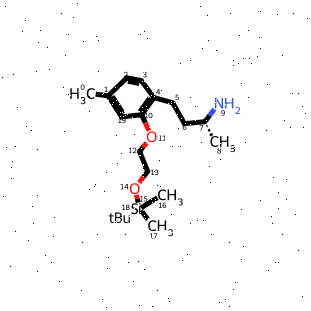 Cc1ccc(CC[C@@H](C)N)c(OCCO[Si](C)(C)C(C)(C)C)c1